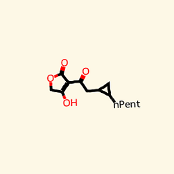 CCCCCC1CC1CC(=O)C1=C(O)COC1=O